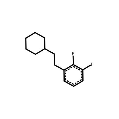 Fc1cccc(CCC2CCCCC2)c1F